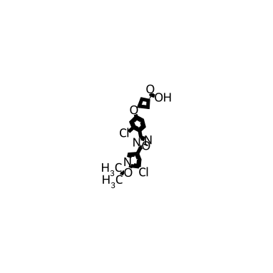 CC(C)Oc1ncc(-c2nc(-c3ccc(O[C@H]4C[C@@H](C(=O)O)C4)cc3Cl)no2)cc1Cl